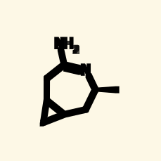 C[C@H]1CC2CC2CC(N)=N1